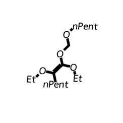 CCCCCOCO/C(OCC)=C(/CCCCC)OCC